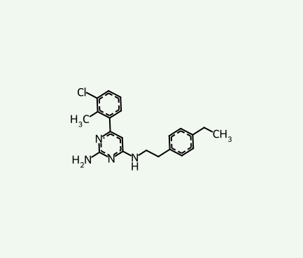 CCc1ccc(CCNc2cc(-c3cccc(Cl)c3C)nc(N)n2)cc1